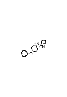 N#CC1(N[C@H]2CC[C@H](Oc3ccccc3)CC2)CCC1